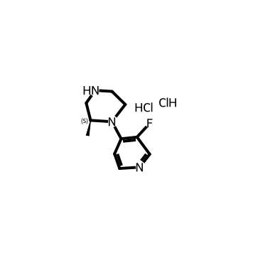 C[C@H]1CNCCN1c1ccncc1F.Cl.Cl